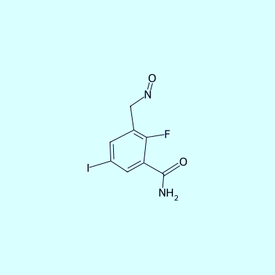 NC(=O)c1cc(I)cc(CN=O)c1F